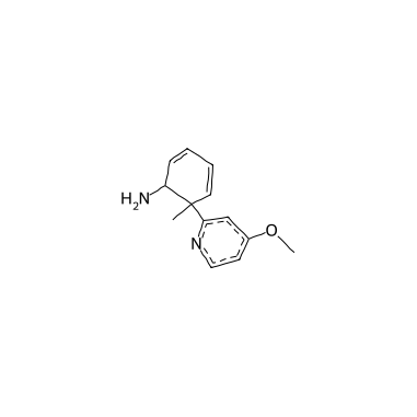 COc1ccnc(C2(C)C=CC=CC2N)c1